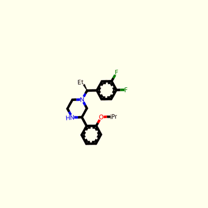 CC[C@@H](c1ccc(F)c(F)c1)N1CCNC(c2ccccc2OC(C)C)C1